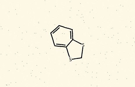 c1ccc2c(c1)SCS2